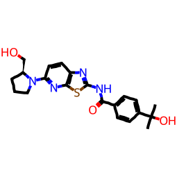 CC(C)(O)c1ccc(C(=O)Nc2nc3ccc(N4CCC[C@H]4CO)nc3s2)cc1